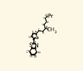 CC(C)CCCC(C)CCc1ccc(-c2nc3c(s2)C=C=C=C3)s1